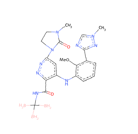 BC(B)(B)NC(=O)c1nnc(N2CCN(C)C2=O)cc1Nc1cccc(-c2ncn(C)n2)c1OC